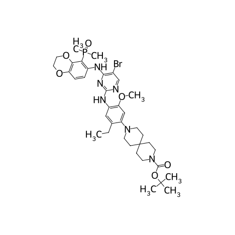 CCc1cc(Nc2ncc(Br)c(Nc3ccc4c(c3P(C)(C)=O)OCCO4)n2)c(OC)cc1N1CCC2(CCN(C(=O)OC(C)(C)C)CC2)CC1